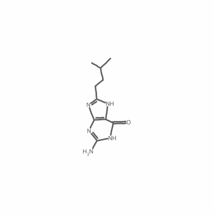 CC(C)CCc1nc2nc(N)[nH]c(=O)c2[nH]1